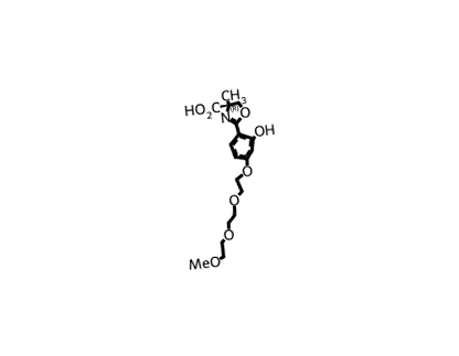 COCCOCCOCCOc1ccc(C2=N[C@@](C)(C(=O)O)CO2)c(O)c1